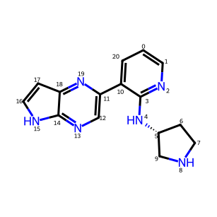 c1cnc(N[C@@H]2CCNC2)c(-c2cnc3[nH]ccc3n2)c1